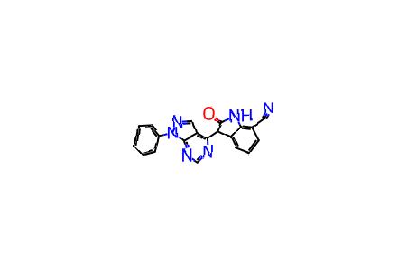 N#Cc1cccc2c1NC(=O)C2c1ncnc2c1cnn2-c1ccccc1